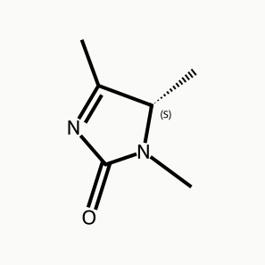 CC1=NC(=O)N(C)[C@H]1C